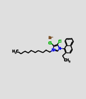 CCCCCCCCCC[n+]1cn(-c2c(CC)ccc3ccccc23)c(Cl)c1Cl.[Br-]